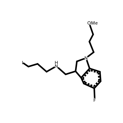 COCCCN1CC(CNCCCI)c2cc(F)ccc21